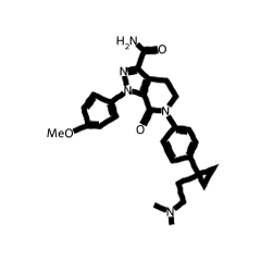 COc1ccc(-n2nc(C(N)=O)c3c2C(=O)N(c2ccc(C4(CCN(C)C)CC4)cc2)CC3)cc1